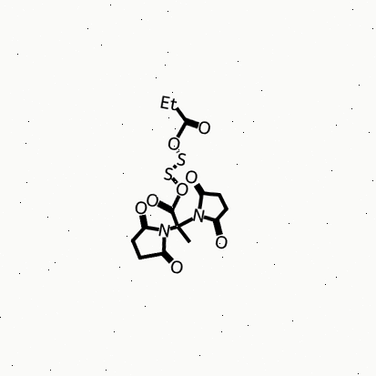 CCC(=O)OSSOC(=O)C(C)(N1C(=O)CCC1=O)N1C(=O)CCC1=O